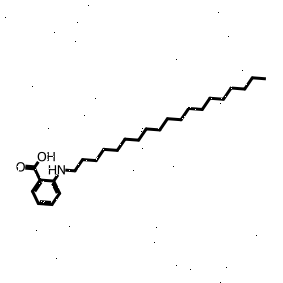 CCCCCCCCCCCCCCCCCCCNc1ccccc1C(=O)O